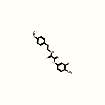 COc1ccc(CCNC(=O)C(=O)Nc2ccc(C)c(F)c2)cc1